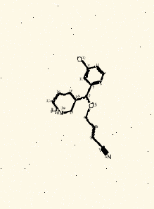 N#CCCCOC(c1cccc(Cl)c1)C1CCCNC1